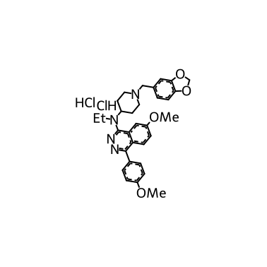 CCN(c1nnc(-c2ccc(OC)cc2)c2ccc(OC)cc12)C1CCN(Cc2ccc3c(c2)OCO3)CC1.Cl.Cl